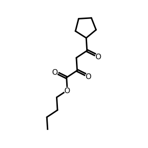 CCCCOC(=O)C(=O)CC(=O)C1CCCC1